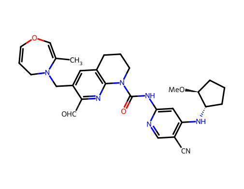 CO[C@H]1CCC[C@@H]1Nc1cc(NC(=O)N2CCCc3cc(CN4CC=COC=C4C)c(C=O)nc32)ncc1C#N